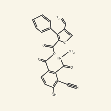 C=Cc1coc(C(=O)OC(=O)c2ccc(O)c(C#N)c2C(=O)NN)c1-c1ccccc1